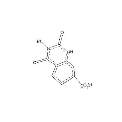 CCOC(=O)c1ccc2c(=O)n(CC)c(=O)[nH]c2c1